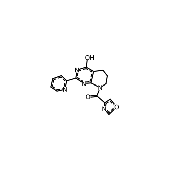 O=C(c1cocn1)N1CCCc2c(O)nc(-c3ccccn3)nc21